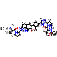 CC[C@H](C)C(C(=O)N1[C@@H](C)CC[C@H]1c1nc2ccc3cc4c(cc3c2[nH]1)OCc1cc(-c2cnc([C@@H]3CC[C@H](C)N3C(=O)[C@@H](NC(=O)OC)[C@@H](C)OC)[nH]2)ccc1-4)N(C)C(=O)O